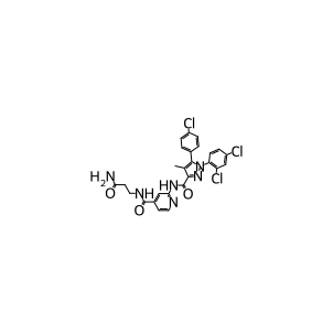 Cc1c(C(=O)Nc2cc(C(=O)NCCC(N)=O)ccn2)nn(-c2ccc(Cl)cc2Cl)c1-c1ccc(Cl)cc1